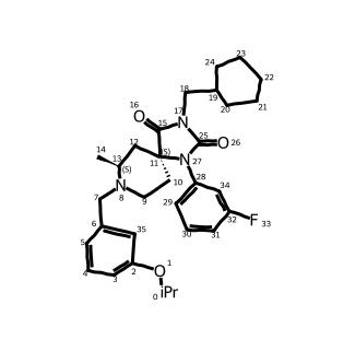 CC(C)Oc1cccc(CN2CC[C@]3(C[C@@H]2C)C(=O)N(CC2CCCCC2)C(=O)N3c2cccc(F)c2)c1